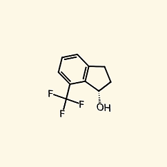 O[C@H]1CCc2cccc(C(F)(F)F)c21